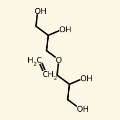 C=C.OCC(O)COCC(O)CO